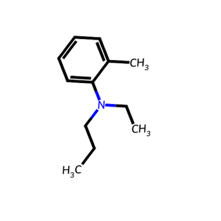 CCCN(CC)c1ccccc1C